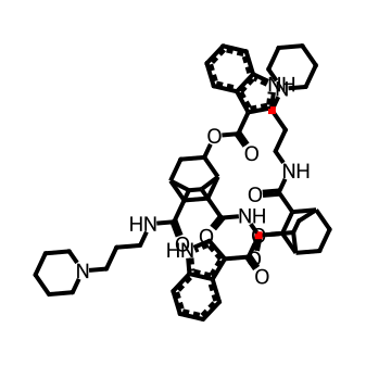 O=C(OC1CC2CCC1C(C(=O)NC(=O)C1C3CCC(CC3OC(=O)c3c[nH]c4ccccc34)C1C(=O)NCCCN1CCCCC1)C2C(=O)NCCCN1CCCCC1)c1c[nH]c2ccccc12